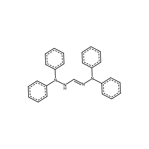 C(=NN(c1ccccc1)c1ccccc1)NN(c1ccccc1)c1ccccc1